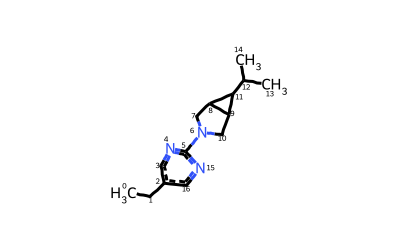 CCc1cnc(N2CC3C(C2)C3C(C)C)nc1